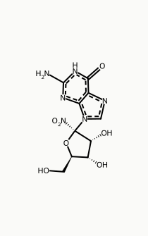 Nc1nc2c(ncn2[C@]2([N+](=O)[O-])O[C@H](CO)[C@@H](O)[C@H]2O)c(=O)[nH]1